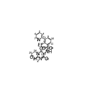 CCc1c(-c2ccccn2)cccc1S(=O)(=O)N[C@@H](C(N)=O)C(=O)N1CCOCC1